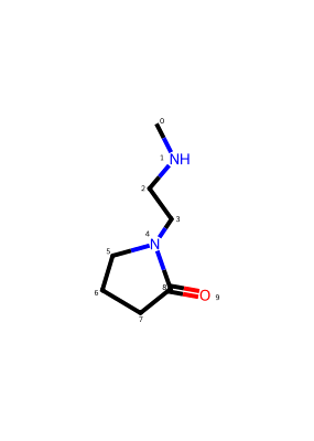 CNCCN1CCCC1=O